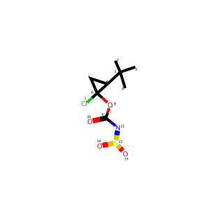 CC(C)(C)C1CC1(Cl)OC(=O)N=S(=O)=O